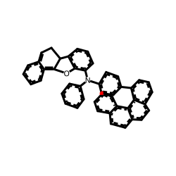 C1=c2ccccc2=C2Oc3c(cccc3N(c3ccccc3)c3ccc(-c4cccc5ccc6ccc7ccccc7c6c45)cc3)C2C1